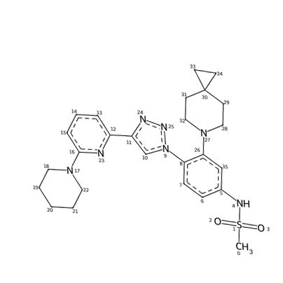 CS(=O)(=O)Nc1ccc(-n2cc(-c3cccc(N4CCCCC4)n3)nn2)c(N2CCC3(CC2)CC3)c1